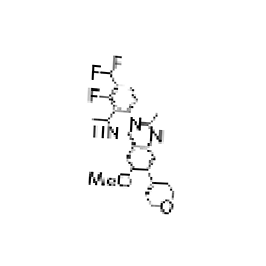 COc1cc2c(NC(C)c3cccc(C(F)F)c3F)nc(C)nc2cc1C1=CCOCC1